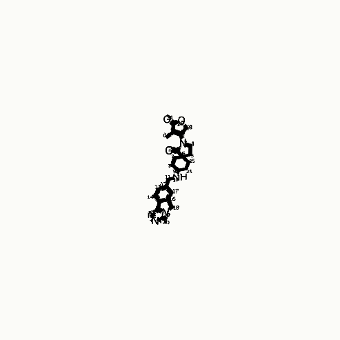 CC1=C(N2CCC3(CCC(NCc4ccc5c(c4)Cn4nnnc4-5)CC3)C2=O)COC1=O